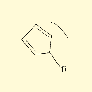 [CH2]C.[Ti][CH]1C=CC=C1